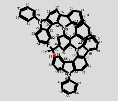 Fc1cc(F)cc(-c2c(-n3c4ccccc4c4ccc5c(c6ccccc6n5-c5ccccc5)c43)cc(C(F)(F)F)cc2-n2c3ccccc3c3ccc4c(c5ccccc5n4-c4ccccc4)c32)c1